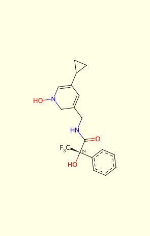 O=C(NCC1=CC(C2CC2)=CN(O)C1)[C@@](O)(c1ccccc1)C(F)(F)F